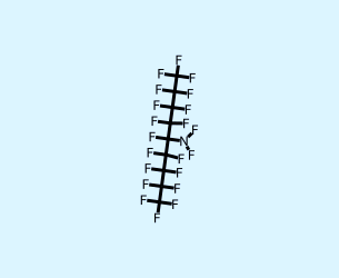 FN(F)C(F)(C(F)(F)C(F)(F)C(F)(F)C(F)(F)F)C(F)(F)C(F)(F)C(F)(F)C(F)(F)F